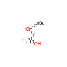 CCCC/C=C(\C)CCCC(C)(O)CCCC(C)CCC1=CC(O)C(C)C(C)C1P